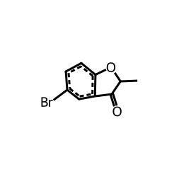 CC1Oc2ccc(Br)cc2C1=O